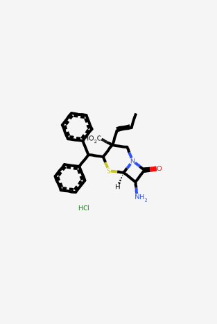 CC=CC1(C(=O)O)CN2C(=O)C(N)[C@H]2SC1C(c1ccccc1)c1ccccc1.Cl